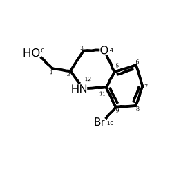 OCC1COc2cccc(Br)c2N1